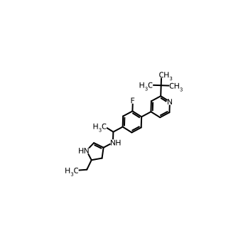 CCC1CC(NC(C)c2ccc(-c3ccnc(C(C)(C)C)c3)c(F)c2)=CN1